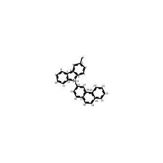 Cc1ccc2c(c1)c1ccccc1n2-c1ccc2ccc3ccccc3c2c1